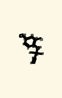 C#CC(C)(C)Oc1ccc(Cl)cc1C